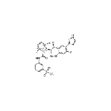 COc1cc(F)c(-c2cc[nH]c2)cc1C(=O)N[C@H]1[C@@H](C(=O)Nc2cccc(S(=O)(=O)C(F)(F)F)c2)[C@@H]2C=C[C@H]1C2